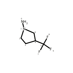 NN1CCC(C(F)(F)F)C1